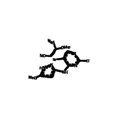 COC(=CC#N)SC.COc1cc(Nc2nc(Cl)ncc2Br)n[nH]1